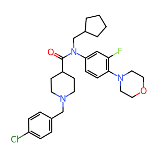 O=C(C1CCN(Cc2ccc(Cl)cc2)CC1)N(CC1CCCC1)c1ccc(N2CCOCC2)c(F)c1